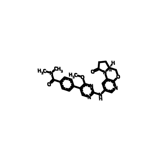 COc1nc(Nc2cnc3c(c2)N2C(=O)CC[C@H]2CO3)ncc1-c1ccc(C(=O)N(C)C)cc1